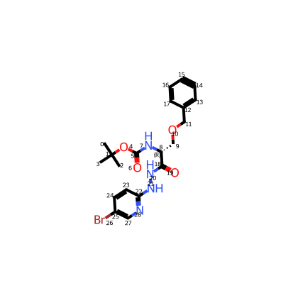 CC(C)(C)OC(=O)N[C@H](COCc1cc#ccc1)C(=O)NNc1ccc(Br)cn1